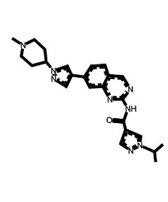 CC(C)n1cc(C(=O)Nc2ncc3ccc(-c4cnn(C5CCN(C)CC5)c4)cc3n2)cn1